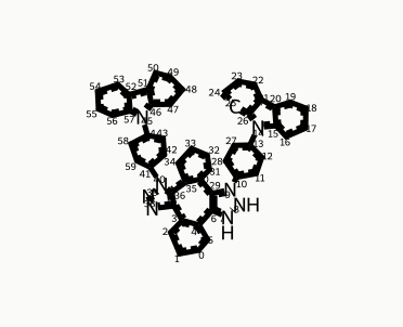 c1ccc2c(c1)c1[nH][nH]n(-c3ccc(-n4c5ccccc5c5ccccc54)cc3)c=1c1ccccc1c1c2nnn1-c1ccc(-n2c3ccccc3c3ccccc32)cc1